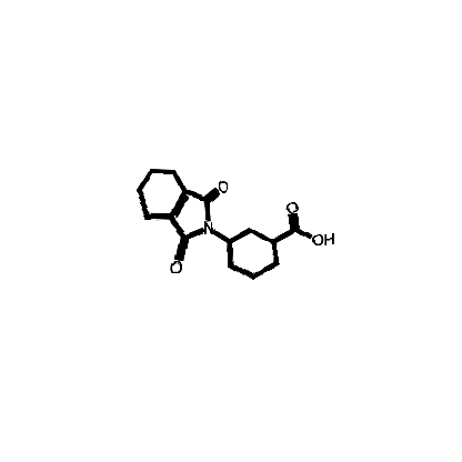 O=C(O)C1CCCC(N2C(=O)C3=C(CCCC3)C2=O)C1